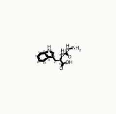 NNC(=O)N[C@H](Cc1c[nH]c2ccccc12)C(=O)O